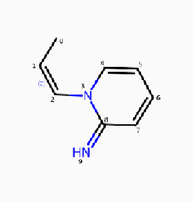 C/C=C\n1ccccc1=N